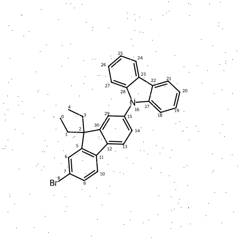 CCC1(CC)c2cc(Br)ccc2-c2ccc(-n3c4ccccc4c4ccccc43)cc21